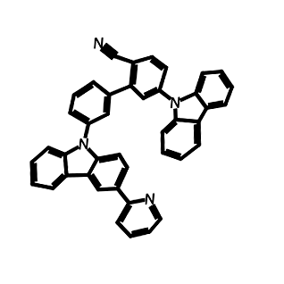 N#Cc1ccc(-n2c3ccccc3c3ccccc32)cc1-c1cccc(-n2c3ccccc3c3cc(-c4ccccn4)ccc32)c1